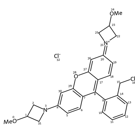 COC1CN(c2ccc3c(-c4ccccc4CCl)c4ccc(=[N+]5CC(OC)C5)cc-4oc3c2)C1.[Cl-]